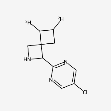 [2H]C1CC2(CNC2c2ncc(Cl)cn2)C1[2H]